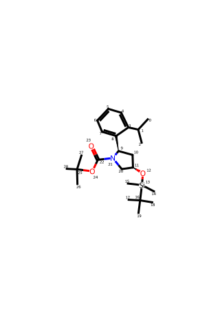 CC(C)c1ccccc1[C@H]1C[C@@H](O[Si](C)(C)C(C)(C)C)CN1C(=O)OC(C)(C)C